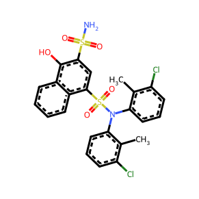 Cc1c(Cl)cccc1N(c1cccc(Cl)c1C)S(=O)(=O)c1cc(S(N)(=O)=O)c(O)c2ccccc12